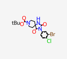 CC(C)(C)OC(=O)N1CCC2(CC1)NC(=O)N(c1ccc(Cl)c(Br)c1)C2=O